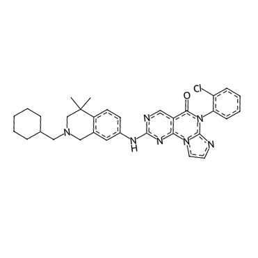 CC1(C)CN(CC2CCCCC2)Cc2cc(Nc3ncc4c(=O)n(-c5ccccc5Cl)c5nccn5c4n3)ccc21